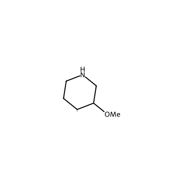 COC1[CH]CCNC1